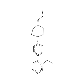 CCC[C@H]1CC[C@H](c2ccc(-c3ccccc3CC)cc2)CC1